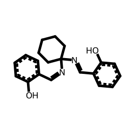 Oc1ccccc1C=NC1(/N=C\c2ccccc2O)CCCCC1